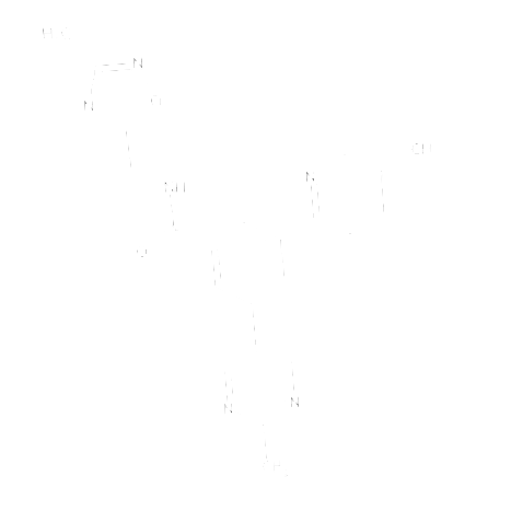 Cc1ccc(-c2cc(C(=O)NCc3nc(C)no3)cc(-c3cnc(C)nc3)c2)nc1